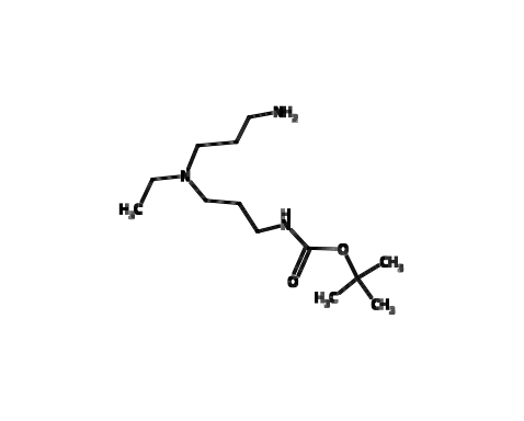 CCN(CCCN)CCCNC(=O)OC(C)(C)C